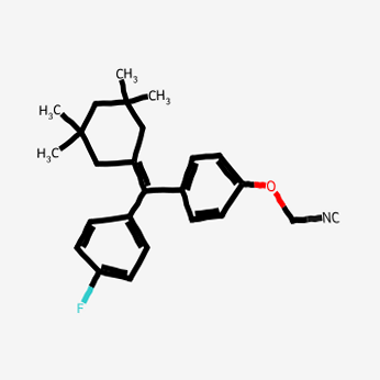 [C-]#[N+]COc1ccc(C(=C2CC(C)(C)CC(C)(C)C2)c2ccc(F)cc2)cc1